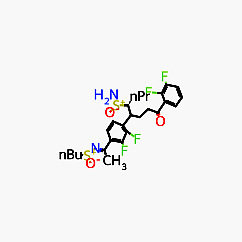 CCCC[S@@+]([O-])/N=C(\C)c1ccc(C(CCC(=O)c2cccc(F)c2F)[C@@H](CCC)[S+](N)[O-])c(F)c1F